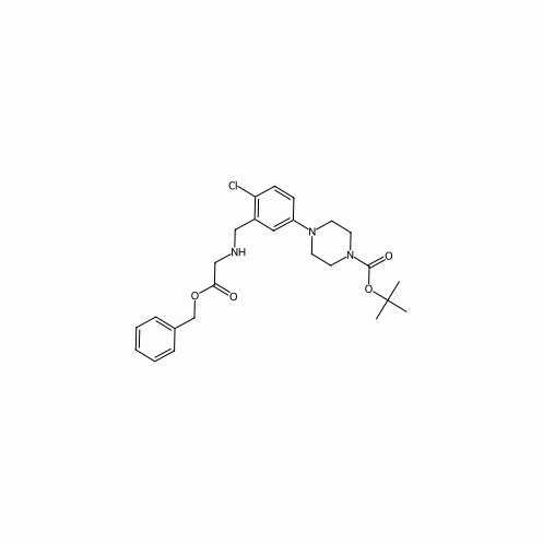 CC(C)(C)OC(=O)N1CCN(c2ccc(Cl)c(CNCC(=O)OCc3ccccc3)c2)CC1